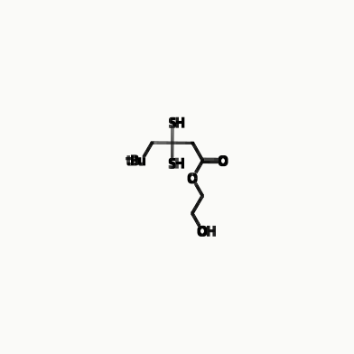 CC(C)(C)CC(S)(S)CC(=O)OCCO